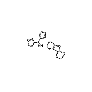 c1ccc2c(c1)oc1ccc(NC(c3ccsc3)c3ccsc3)cc12